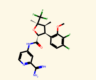 COc1c([C@H]2[C@H](C(=O)Nc3ccnc(C(=N)N)c3)O[C@@](C)(C(F)(F)F)[C@H]2C)ccc(F)c1F